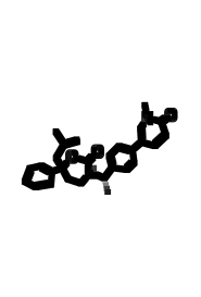 C=C(C)CC1(c2ccccc2)CCN([C@@H](C)c2ccc(-c3ccc(=O)n(C)c3)cc2)C(=O)O1